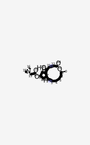 C[C@H]1CCC/C=C\[C@@H]2C[C@H](OC(=O)CN(C)C)C[C@H]2[C@H](O)/C=C\C(=O)O1